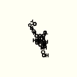 CO[C@@H](C)COc1nc2[nH]cc(F)c2cc1Oc1cc(N2CCC3(CC2)CN(C2CCC[C@H]2c2ccccc2C(C)C)C3)ccc1C(=O)NS(=O)(=O)c1ccc(NC[C@H]2CC[C@](C)(O)CC2)c([N+](=O)[O-])c1